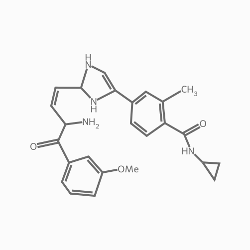 COc1cccc(C(=O)C(N)/C=C\C2NC=C(c3ccc(C(=O)NC4CC4)c(C)c3)N2)c1